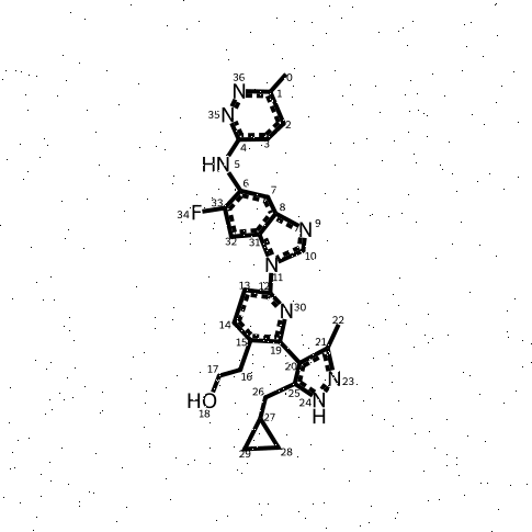 Cc1ccc(Nc2cc3ncn(-c4ccc(CCO)c(-c5c(C)n[nH]c5CC5CC5)n4)c3cc2F)nn1